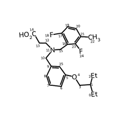 CCC(CC)COc1cccc(CN(CCC(=O)O)Cc2c(F)ccc(C)c2F)c1